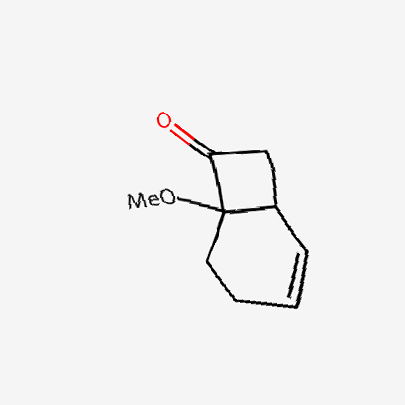 COC12CCC=CC1CC2=O